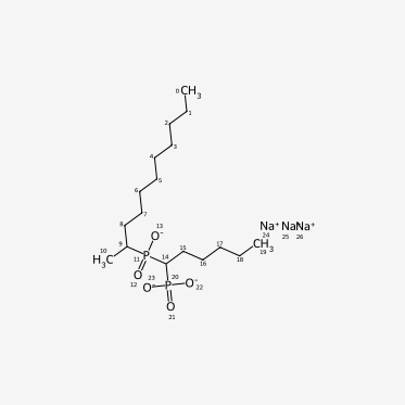 CCCCCCCCCC(C)P(=O)([O-])C(CCCCC)P(=O)([O-])[O-].[Na+].[Na+].[Na+]